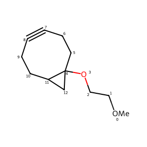 COCCOC12CCC#CCCC1C2